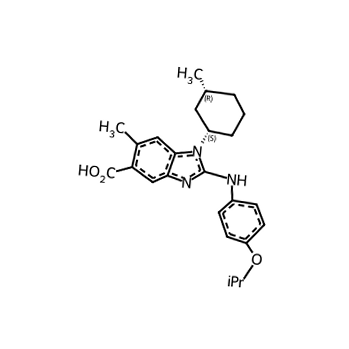 Cc1cc2c(cc1C(=O)O)nc(Nc1ccc(OC(C)C)cc1)n2[C@H]1CCC[C@@H](C)C1